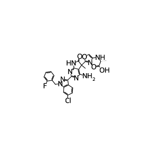 C[C@@H](Nc1coc(C2(C)C(=O)Nc3nc(-c4nn(Cc5ccccc5F)c5cc(Cl)ccc45)nc(N)c32)n1)C(=O)O